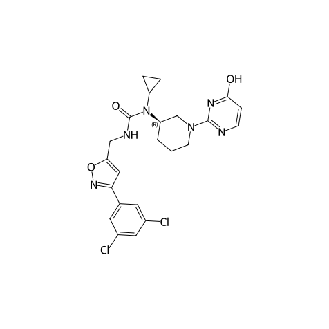 O=C(NCc1cc(-c2cc(Cl)cc(Cl)c2)no1)N(C1CC1)[C@@H]1CCCN(c2nccc(O)n2)C1